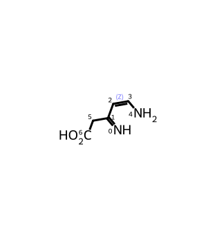 N=C(/C=C\N)CC(=O)O